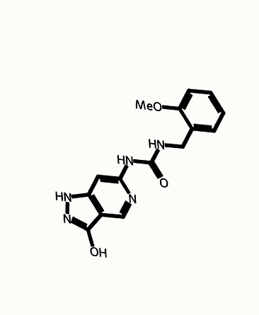 COc1ccccc1CNC(=O)Nc1cc2[nH]nc(O)c2cn1